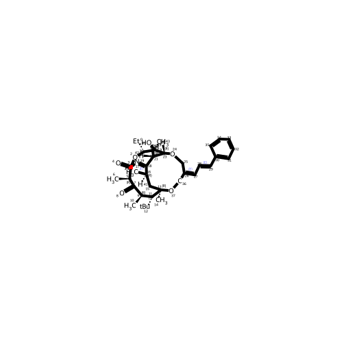 CC[C@H]1OC(=O)[C@H](C)C(=O)[C@H](C)[C@@H](C(C)(C)C)[C@@]2(C)C[C@@H](C)/C(=N\C(C)=O)[C@H](C)[C@@H](OC/C(=C\C=C\c3ccccc3)CO2)[C@]1(C)O